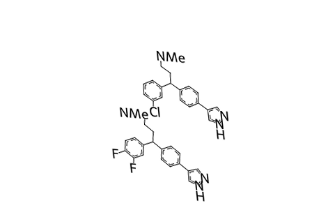 CNCCC(c1ccc(-c2cn[nH]c2)cc1)c1ccc(F)c(F)c1.CNCCC(c1ccc(-c2cn[nH]c2)cc1)c1cccc(Cl)c1